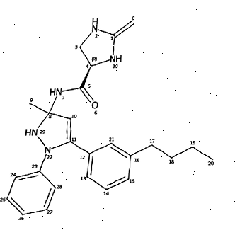 C=C1NC[C@H](C(=O)NC2(C)C=C(c3cccc(CCCC)c3)N(c3ccccc3)N2)N1